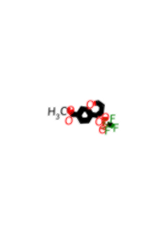 COC(=O)c1ccc2c(c1)OCCC=C2OS(=O)(=O)C(F)(F)F